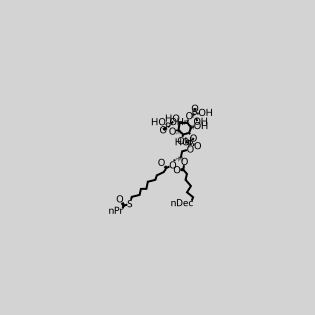 CCCCCCCCCCCCCCCC(=O)O[C@H](COC(=O)CCCCCCCCSC(=O)CCC)COP(=O)(O)OC1C(O)[C@@H](OP(=O)(O)O)C(O)[C@@H](OP(=O)(O)O)[C@H]1O